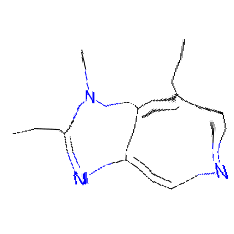 Cc1cncc2nc(C)n(C)c12